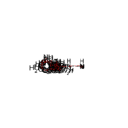 C=N/C(=C\N)C[C@H](NC(=O)[C@H](CCC(N)=O)NC(=O)[C@H](CO)NC(=O)CNC(=O)COCCOCCNC(=O)CCCCCCCCCCCCCCCc1nnn[nH]1)C(=O)NC(CNC(=O)CN(CC(=O)O)CC(=O)O)C(=O)N[C@@H](CCCC)C(=O)N[C@H]1CCC(=O)NCCCC[C@@H](C(N)=O)NC(=O)[C@H](CC(=C)c2ccccc2)NC(=O)[C@H](CCCNCN)NC(=O)[C@@H](Cc2ccccc2)NC(=O)[C@@H]2C[C@@H](O)CN2C1=O